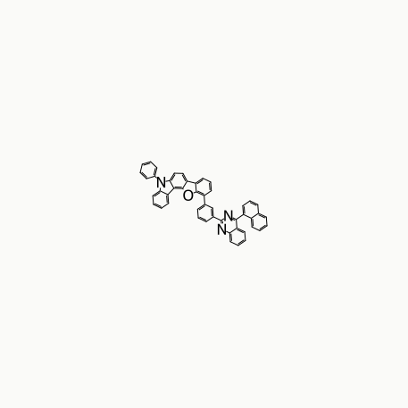 c1ccc(-n2c3ccccc3c3c4oc5c(-c6cccc(-c7nc(-c8cccc9ccccc89)c8ccccc8n7)c6)cccc5c4ccc32)cc1